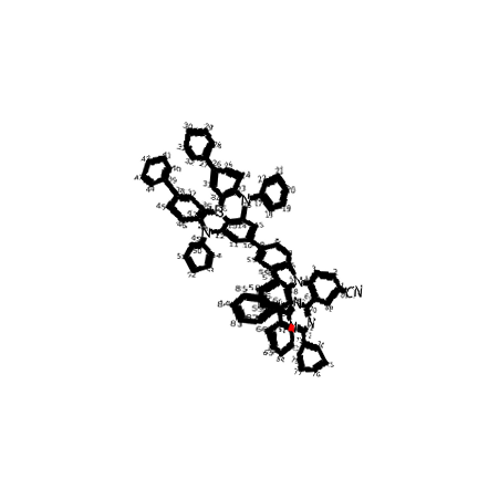 N#Cc1ccc(-n2c3ccc(-c4cc5c6c(c4)N(c4ccccc4)c4ccc(-c7ccccc7)cc4B6c4cc(-c6ccccc6)ccc4N5c4ccccc4)cc3c3ccc(-c4ccccc4)cc32)c(-c2nc(-c3ccccc3)nc(-c3ccccc3)n2)c1